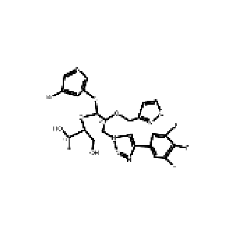 C[C@@H](O)C(CO)OC(Sc1cncc(Br)c1)[C@H](Cn1cc(-c2cc(F)c(F)c(F)c2)nn1)OCc1ccon1